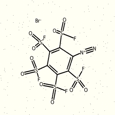 N#[N+]c1c(S(=O)(=O)F)c(S(=O)(=O)F)c(S(=O)(=O)F)c(S(=O)(=O)F)c1S(=O)(=O)F.[Br-]